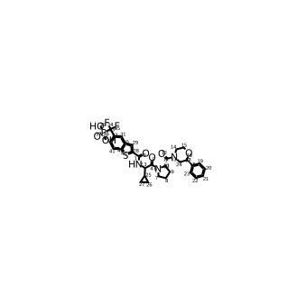 O=C(NC(C(=O)N1CCC[C@H]1C(=O)N1CCO[C@@H](c2ccccc2)C1)C1CC1)c1cc2cc(C(F)(F)P(=O)(O)O)ccc2s1